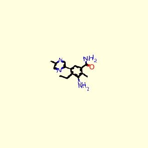 CCc1c(-c2cnc(C)cn2)cc(C(N)=O)c(C)c1N